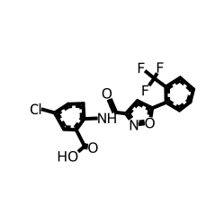 O=C(Nc1ccc(Cl)cc1C(=O)O)c1cc(-c2ccccc2C(F)(F)F)on1